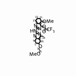 COCCOc1ccc2nc(Nc3nc(OC(=O)C(F)(F)F)c4c(OC)cccc4n3)nc(C)c2c1